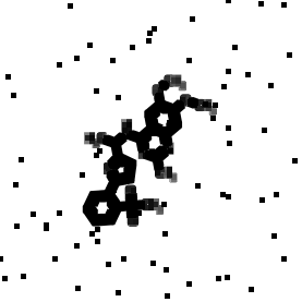 COc1cc2nc(C)nc(NC(C)c3ccc(-c4ccccc4S(C)(=O)=O)s3)c2cc1OC